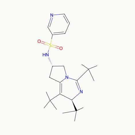 CC(C)(C)C1=N[C@@H](C(C)(C)C)C(C(C)(C)C)=C2C[C@H](NS(=O)(=O)c3cccnc3)CN12